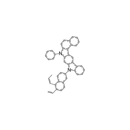 C=Cc1ccc2cc(-n3c4ccccc4c4cc5c6c7ccccc7ccc6n(-c6ccccc6)c5cc43)ccc2c1/C=C\C